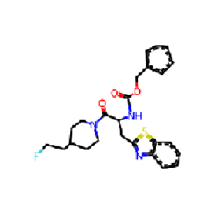 O=C(NC(Cc1nc2ccccc2s1)C(=O)N1CCC(CCF)CC1)OCc1ccccc1